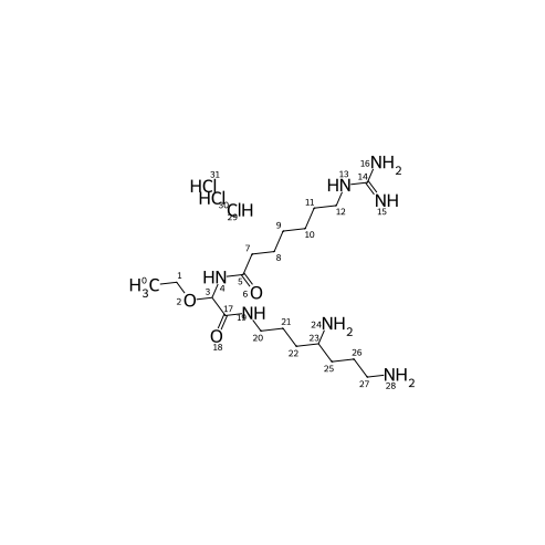 CCOC(NC(=O)CCCCCCNC(=N)N)C(=O)NCCCC(N)CCCN.Cl.Cl.Cl